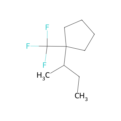 CCC(C)C1(C(F)(F)F)CCCC1